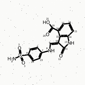 NS(=O)(=O)c1ccc(NC=C2C(=O)Nc3cccc(C(=O)O)c32)cc1